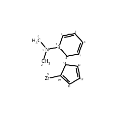 CN(C)B1C=CC=CC1.[Zr][C]1=CC=CC1